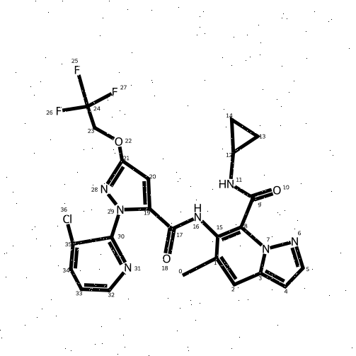 Cc1cc2ccnn2c(C(=O)NC2CC2)c1NC(=O)c1cc(OCC(F)(F)F)nn1-c1ncccc1Cl